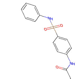 CCC(=O)Nc1ccc(S(=O)(=O)Nc2ccccc2)cc1